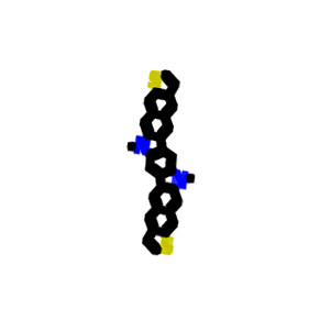 Cn1c2cc3cc4sccc4cc3cc2c2cc3c(cc21)c1cc2cc4ccsc4cc2cc1n3C